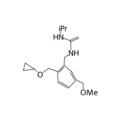 C=C(NCc1cc(COC)ccc1COC1CC1)NC(C)C